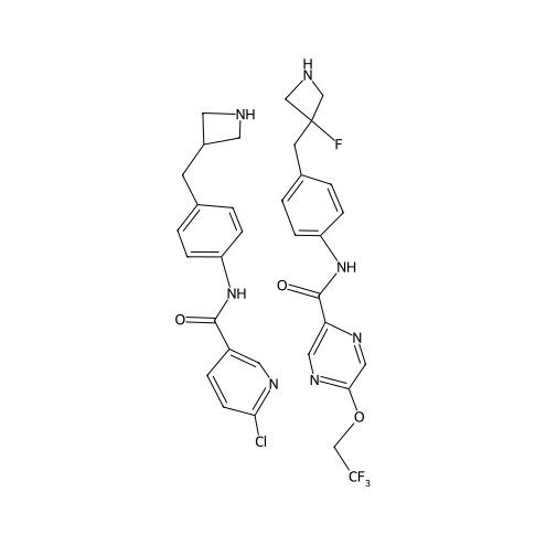 O=C(Nc1ccc(CC2(F)CNC2)cc1)c1cnc(OCC(F)(F)F)cn1.O=C(Nc1ccc(CC2CNC2)cc1)c1ccc(Cl)nc1